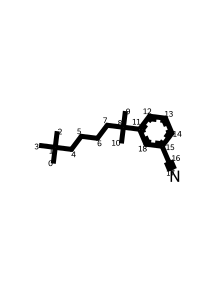 CC(C)(C)CCCCC(C)(C)c1cccc(C#N)c1